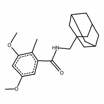 COc1cc(OC)c(C)c(C(=O)NCC23CC4CC(CC(C4)C2)C3)c1